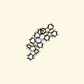 c1ccc2c(c1)-c1ccccc1C21c2ccccc2-c2ccc(N(c3cccc4c3-c3ccccc3C43c4ccccc4-n4c5ccccc5c5cccc3c54)c3cccc4ccccc34)cc21